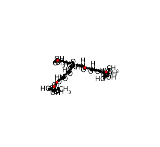 CCP(=O)(O)CCCCCCCNC(=O)[C@H](CCCCNC(=O)CCCC(=O)NCCOCCOC1OC(CO)C(O)C(O)C1NC(C)=O)NC(=O)CNC(=O)CCCC(=O)NCCOCCOC1OC(CO)C(O)C(O)C1NC(C)=O